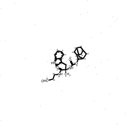 C[C@@](Cc1c[nH]c2ccccc12)(NC(=O)OC1C2CC3CC(C2)CC1C3)C(=O)NCC[C]=O